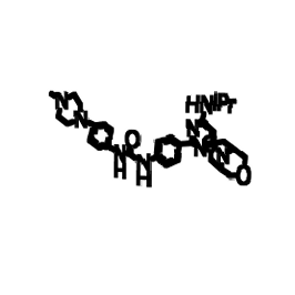 CC(C)Nc1cc(N2C3COCC2COC3)nc(-c2ccc(NC(=O)Nc3ccc(N4CCN(C)CC4)cc3)cc2)n1